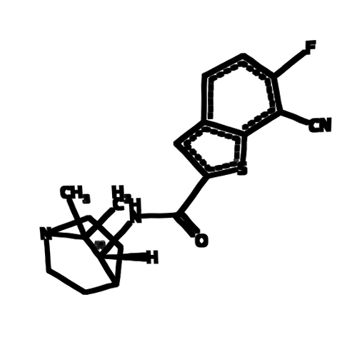 CC1(C)[C@H](NC(=O)c2cc3ccc(F)c(C#N)c3s2)C2CCN1CC2